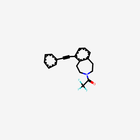 O=C(N1CCc2cccc(C#Cc3ccccc3)c2CC1)C(F)(F)F